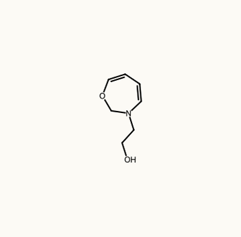 OCCN1C=CC=COC1